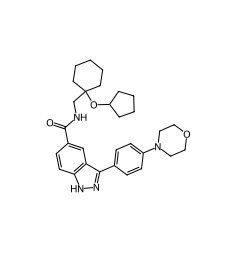 O=C(NCC1(OC2CCCC2)CCCCC1)c1ccc2[nH]nc(-c3ccc(N4CCOCC4)cc3)c2c1